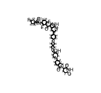 O=C1CCC(N2Cc3cc(N4CCC(O)(CN5CC6(C5)CN(c5ccc(-c7cnc8[nH]cc(C(=O)c9c(F)ccc(N[S+]([O-])N%10CCC(F)C%10)c9F)c8c7)cc5)C6)CC4)ccc3C2=O)C(=O)N1